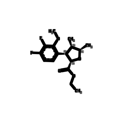 CCOC(=O)[C@H]1O[C@@H](C)[C@@H](C)[C@H]1c1ccc(F)c(F)c1OC